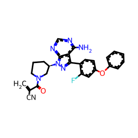 C=C(C#N)C(=O)N1CCC[C@@H](n2nc(-c3ccc(Oc4ccccc4)cc3F)c3c(N)ncnc32)C1